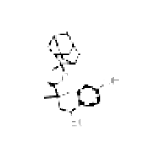 CCC(CC(C)(C)C(=O)OC1(C)C2CC3CC(C2)CC1C3)c1ccc(O)cc1